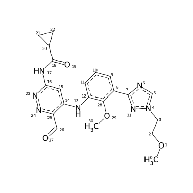 COCCn1cnc(-c2cccc(Nc3cc(NC(=O)C4CC4)nnc3C=O)c2OC)n1